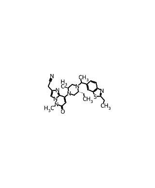 CCc1nc2ccc(C(C)N3C[C@H](C)N(c4cc(=O)n(C)n5cc(CC#N)nc45)C[C@H]3CC)cc2s1